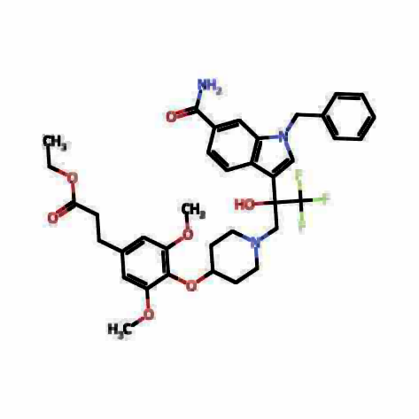 CCOC(=O)CCc1cc(OC)c(OC2CCN(CC(O)(c3cn(Cc4ccccc4)c4cc(C(N)=O)ccc34)C(F)(F)F)CC2)c(OC)c1